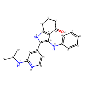 CC(C)Nc1cc(-c2[nH]c3c(c2Nc2ccccc2)C(=O)CCC3)ccn1